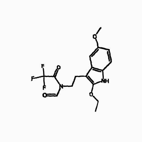 CCOc1[nH]c2ccc(OC)cc2c1CCN(C=O)C(=O)C(F)(F)F